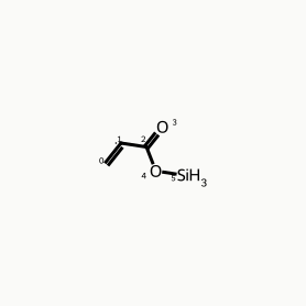 C=[C]C(=O)O[SiH3]